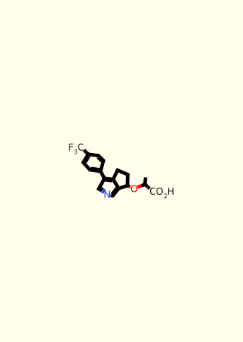 CC(OC1CCc2c(-c3ccc(C(F)(F)F)cc3)cncc21)C(=O)O